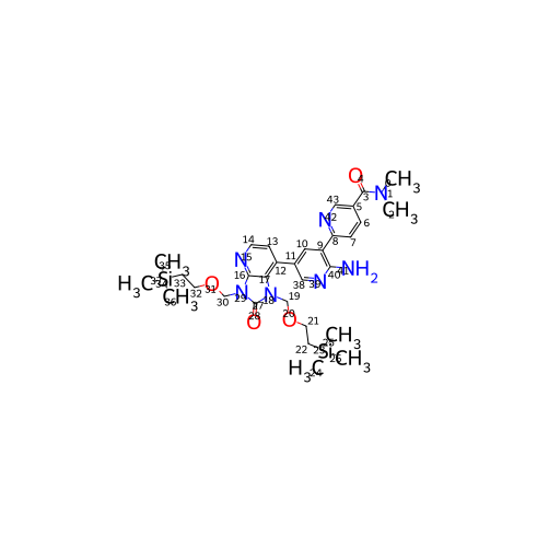 CN(C)C(=O)c1ccc(-c2cc(-c3ccnc4c3n(COCC[Si](C)(C)C)c(=O)n4COCC[Si](C)(C)C)cnc2N)nc1